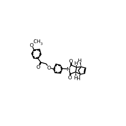 COc1ccc(C(=O)COc2ccc(N3C(=O)[C@@H]4[C@H](C3=O)[C@@H]3C=C[C@H]4C3)cc2)cc1